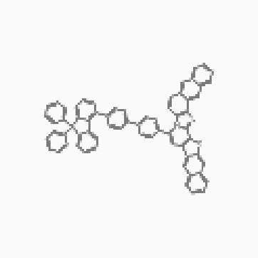 c1ccc(C2(c3ccccc3)c3ccccc3-c3c(-c4ccc(-c5ccc(-c6cc7c8cc9ccccc9cc8sc7c7nc8c9cc%10ccccc%10cc9ccc8n67)cc5)cc4)cccc32)cc1